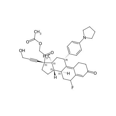 CC(=O)OCC(=O)[C@@]1(C#CCO)CC[C@H]2[C@@H]3CC(F)C4=CC(=O)CCC4=C3[C@@H](c3ccc(N4CCCC4)cc3)C[C@@]21C